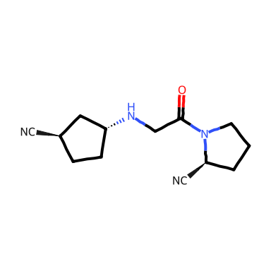 N#C[C@@H]1CC[C@@H](NCC(=O)N2CCC[C@H]2C#N)C1